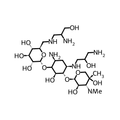 CN[C@@H]1[C@@H](O)[C@@H](O[C@H]2[C@H](NCC(O)CN)C[C@H](N)C(O[C@H]3O[C@H](CNCC(N)CO)[C@@H](O)[C@H](O)[C@H]3O)[C@@H]2O)OC[C@]1(C)O